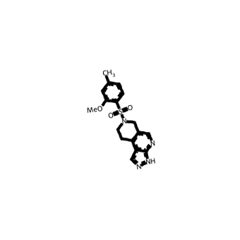 COc1cc(C)ccc1S(=O)(=O)N1CCc2c(cnc3[nH]ncc23)C1